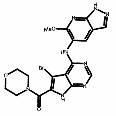 COc1nc2[nH]ncc2cc1Nc1ncnc2[nH]c(C(=O)N3CCOCC3)c(Br)c12